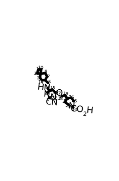 N#Cc1nc(NCC2CCC3(CCC3)CC2)cc(OCCC2CCN(C(=O)O)CC2)n1